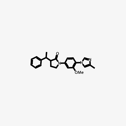 COc1cc(N2CCC(C(C)c3ccccc3)C2=O)ccc1-n1cnc(C)c1